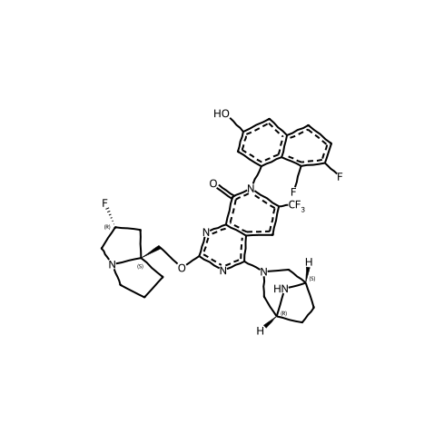 O=c1c2nc(OC[C@@]34CCCN3C[C@H](F)C4)nc(N3C[C@H]4CC[C@@H](C3)N4)c2cc(C(F)(F)F)n1-c1cc(O)cc2ccc(F)c(F)c12